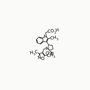 Cc1noc(C)c1CN1C(c2c(C)n(CC(=O)O)c3ccccc23)CCS1(=O)=O